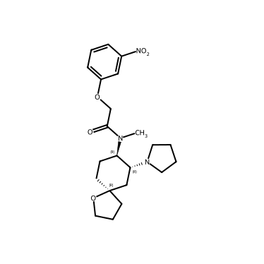 CN(C(=O)COc1cccc([N+](=O)[O-])c1)[C@@H]1CC[C@@]2(CCCO2)C[C@H]1N1CCCC1